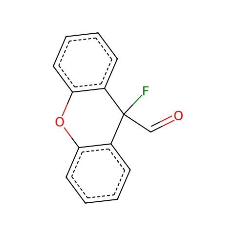 O=CC1(F)c2ccccc2Oc2ccccc21